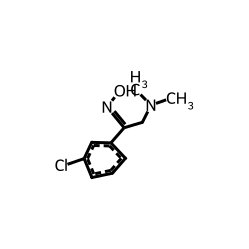 CN(C)CC(=NO)c1cccc(Cl)c1